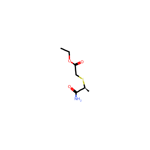 CCOC(=O)CS[C@@H](C)C(N)=O